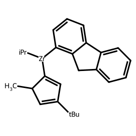 CC1C=C(C(C)(C)C)C=[C]1[Zr]([c]1cccc2c1Cc1ccccc1-2)[CH](C)C